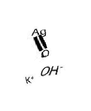 [K+].[OH-].[O]=[Ag]